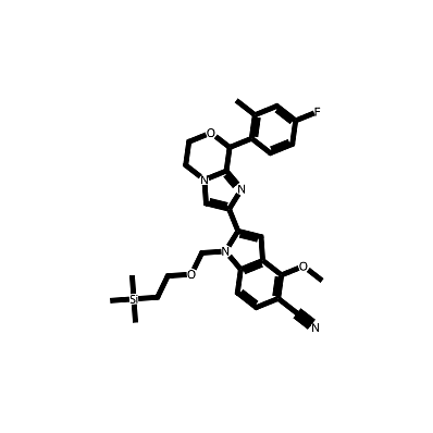 COc1c(C#N)ccc2c1cc(-c1cn3c(n1)C(c1ccc(F)cc1C)OCC3)n2COCC[Si](C)(C)C